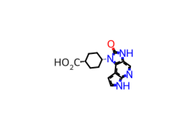 O=c1[nH]c2cnc3[nH]ccc3c2n1[C@H]1CC[C@H](C(=O)O)CC1